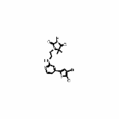 CC1(C)C(=O)NC(=O)N1CCNc1nccc(-c2cc(Br)c(Cl)s2)n1